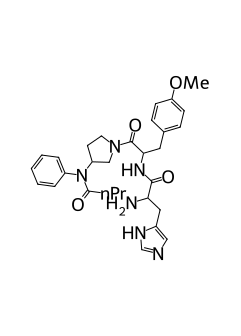 CCCC(=O)N(c1ccccc1)C1CCN(C(=O)C(Cc2ccc(OC)cc2)NC(=O)C(N)Cc2cnc[nH]2)C1